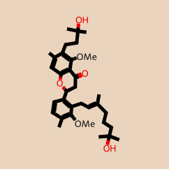 COc1c(C)ccc(C2CC(=O)c3c(cc(C)c(CCC(C)(C)O)c3OC)O2)c1C/C=C(\C)CCCC(C)(C)O